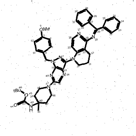 COc1ccc(Cn2nc(N3CCCc4c3ccnc4N=C(c3ccccc3)c3ccccc3)c3ncc(N4CCC(C)(NC(=O)OC(C)(C)C)CC4)nc32)cc1